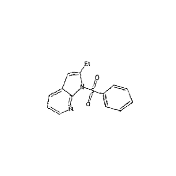 CCc1cc2cccnc2n1S(=O)(=O)c1ccccc1